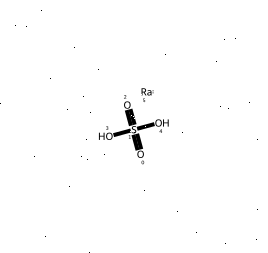 O=S(=O)(O)O.[Ra]